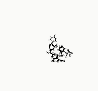 CN1CCN(c2ccc(Nc3nc(Nc4ccccc4N(C)S(C)(=O)=O)c4c(C#N)c[nH]c4n3)cc2F)CC1